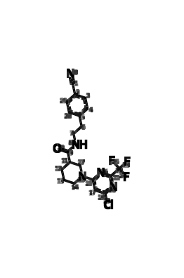 N#Cc1ccc(CCNC(=O)C2CCCN(c3cc(Cl)nc(C(F)(F)F)n3)C2)cc1